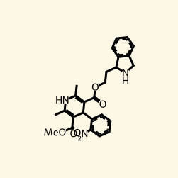 COC(=O)C1=C(C)NC(C)=C(C(=O)OCCC2NCc3ccccc32)C1c1ccccc1[N+](=O)[O-]